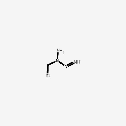 CCCN(N)N=N